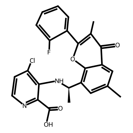 Cc1cc([C@@H](C)Nc2c(Cl)ccnc2C(=O)O)c2oc(-c3ccccc3F)c(C)c(=O)c2c1